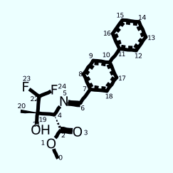 COC(=O)[C@@H](/N=C/c1ccc(-c2ccccc2)cc1)[C@](C)(O)C(F)F